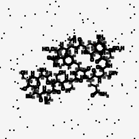 CC[C@H](C)[C@H](NC(=O)[C@H](CO)NC(=O)[C@@H](N)[C@@H](C)O)C(=O)N[C@@H](CS)C(=O)N[C@@H](CO)C(=O)N[C@@H](CC(C)C)C(=O)N[C@@H](Cc1ccc(O)cc1)C(=O)N[C@@H](CCC(N)=O)C(=O)N[C@@H](CC(C)C)C(=O)N[C@@H](CCC(=O)O)C(=O)N[C@@H](CC(N)=O)C(=O)N[C@@H](Cc1ccc(O)cc1)C(=O)N[C@@H](CS)C(=O)N[C@@H](CC(N)=O)C(=O)O